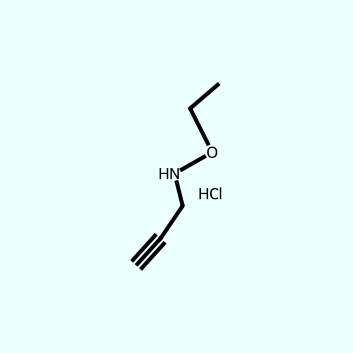 C#CCNOCC.Cl